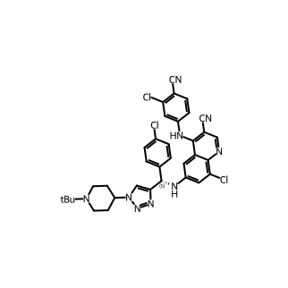 CC(C)(C)N1CCC(n2cc([C@@H](Nc3cc(Cl)c4ncc(C#N)c(Nc5ccc(C#N)c(Cl)c5)c4c3)c3ccc(Cl)cc3)nn2)CC1